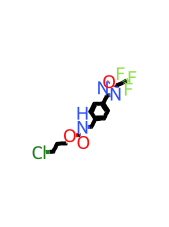 O=C(NCc1ccc(-c2noc(C(F)(F)F)n2)cc1)OCCCCl